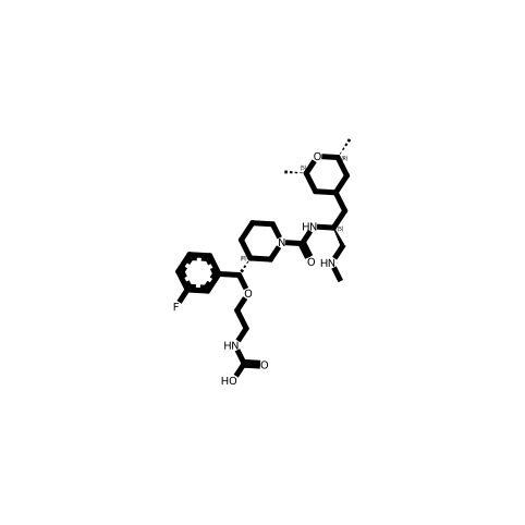 CNC[C@H](CC1C[C@@H](C)O[C@@H](C)C1)NC(=O)N1CCC[C@@H](C(OCCNC(=O)O)c2cccc(F)c2)C1